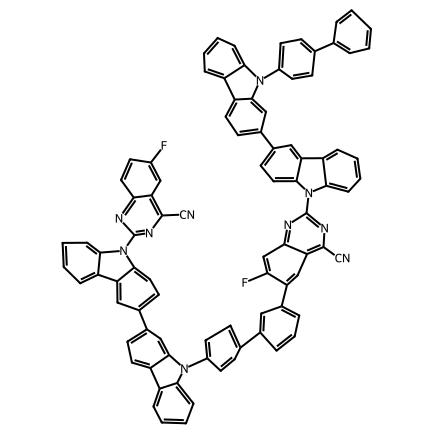 N#Cc1nc(-n2c3ccccc3c3cc(-c4ccc5c6ccccc6n(-c6ccc(-c7cccc(-c8cc9c(C#N)nc(-n%10c%11ccccc%11c%11cc(-c%12ccc%13c%14ccccc%14n(-c%14ccc(-c%15ccccc%15)cc%14)c%13c%12)ccc%11%10)nc9cc8F)c7)cc6)c5c4)ccc32)nc2ccc(F)cc12